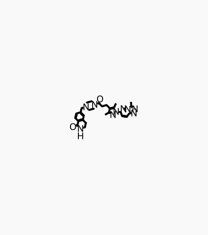 Cc1nn(-c2ccc3nnc(C)n3n2)c(C)c1CCC(=O)N1CCN(Cc2ccc3c(c2)CCNC3=O)CC1